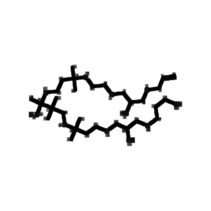 C=CCOCC(O)COCCOC(C)(C)CCOC(C)(N)C(C)(C)COC(C)(C)CCOCC(O)COCCCO